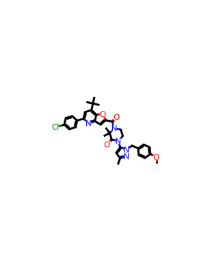 COc1ccc(Cn2nc(C)cc2N2CCN(C(=O)c3cc4nc(-c5ccc(Cl)cc5)cc(C(C)(C)C)c4o3)C(C)(C)C2=O)cc1